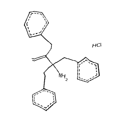 C=C(Cc1ccccc1)C(N)(Cc1ccccc1)Cc1ccccc1.Cl